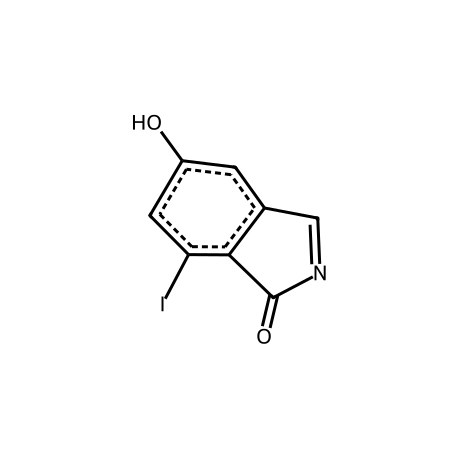 O=C1N=Cc2cc(O)cc(I)c21